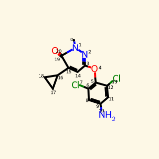 Cn1nc(Oc2c(Cl)cc(N)cc2Cl)cc(C2CC2)c1=O